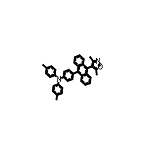 Cc1ccc(N(c2ccc(C)cc2)c2ccc(-c3c4ccccc4c(-c4c(C)noc4C)c4ccccc34)cc2)cc1